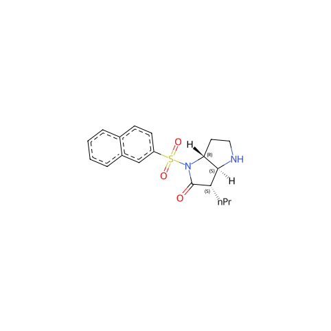 CCC[C@@H]1C(=O)N(S(=O)(=O)c2ccc3ccccc3c2)[C@@H]2CCN[C@@H]12